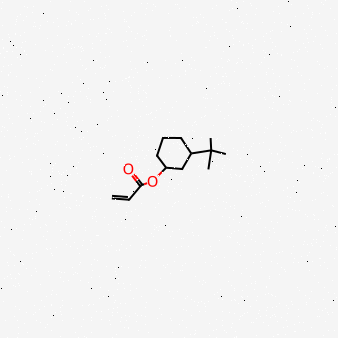 C=CC(=O)OC1CCCC(C(C)(C)C)C1